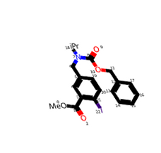 COC(=O)c1cc(CN(C(=O)OCc2ccccc2)C(C)C)ccc1I